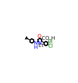 CCn1c(Nc2ccc(C3CC3)cc2)cc(=O)c(C(=O)O)c1-c1ccc(Cl)c(Cl)c1